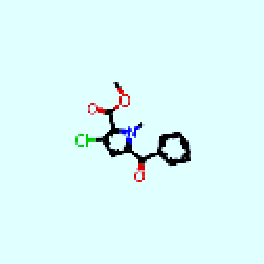 COC(=O)c1c(Cl)cc(C(=O)c2ccccc2)n1C